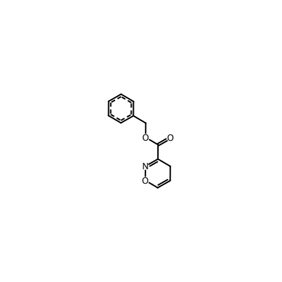 O=C(OCc1ccccc1)C1=NOC=CC1